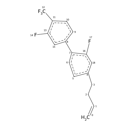 C=CCCc1ccc(-c2ccc(C(F)(F)F)c(F)c2)c(F)c1